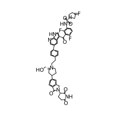 O=C1CCC(N2Cc3cc(C4CCN(CCc5ccc(-c6cnc7[nH]cc(C(=O)c8c(F)ccc(NS(=O)(=O)N9CC[C@@H](F)C9)c8F)c7c6)cc5)[C@@H](CO)C4)ccc3C2=O)C(=O)N1